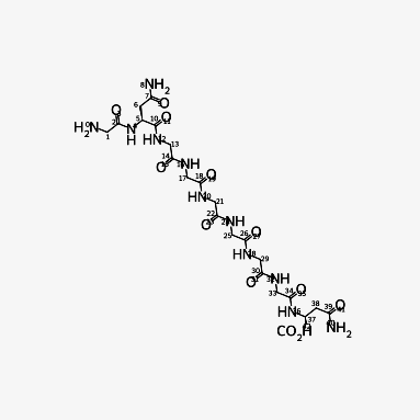 NCC(=O)N[C@@H](CC(N)=O)C(=O)NCC(=O)NCC(=O)NCC(=O)NCC(=O)NCC(=O)NCC(=O)N[C@@H](CC(N)=O)C(=O)O